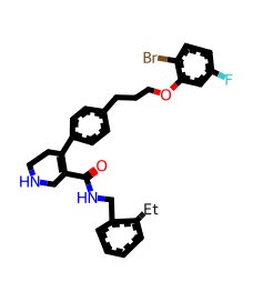 CCc1ccccc1CNC(=O)C1=C(c2ccc(CCCOc3cc(F)ccc3Br)cc2)CCNC1